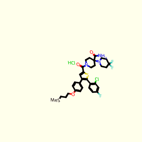 CSCCCOc1ccc(-c2cc(C(=O)N3CCC(C(N)=O)(N4CCC(F)(F)CC4)CC3)sc2-c2ccc(F)cc2Cl)cc1.Cl